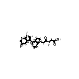 O=C(O)CNC(=O)Cn1ccc2c(-c3c[nH]c4ncc(F)cc34)ncnc21